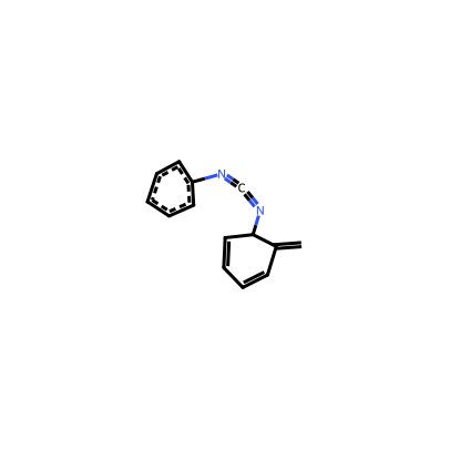 C=C1C=CC=CC1N=C=Nc1ccccc1